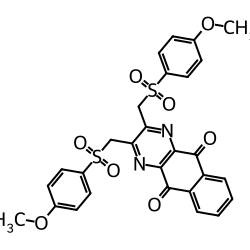 COc1ccc(S(=O)(=O)Cc2nc3c(nc2CS(=O)(=O)c2ccc(OC)cc2)C(=O)c2ccccc2C3=O)cc1